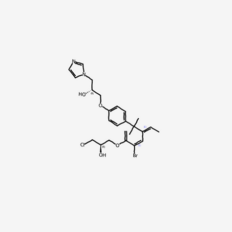 C=C(OC[C@@H](O)CCl)/C(Br)=C\C(=C/C)C(C)(C)c1ccc(OC[C@H](O)Cn2ccnc2)cc1